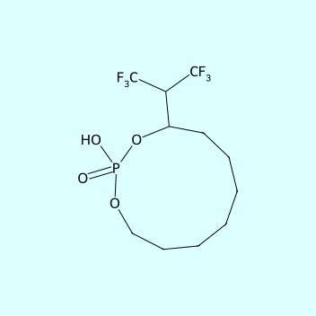 O=P1(O)OCCCCCCCC(C(C(F)(F)F)C(F)(F)F)O1